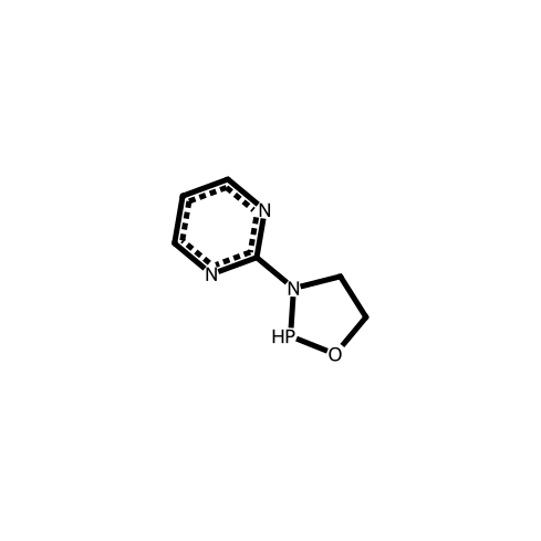 c1cnc(N2CCOP2)nc1